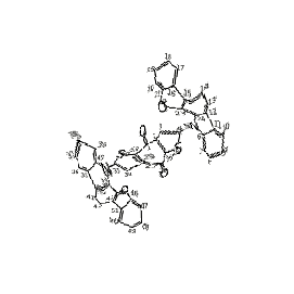 O=C1c2cc(-n3c4ccccc4c4ccc5c6ccccc6oc5c43)sc2C(=O)c2cc(-n3c4c(c5ccccc53)CCc3c-4oc4ccccc34)sc21